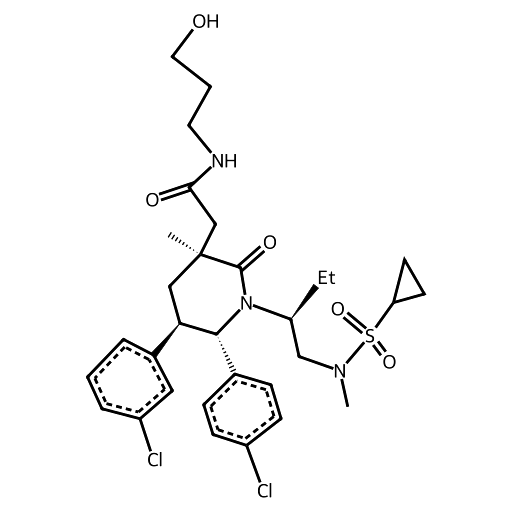 CC[C@@H](CN(C)S(=O)(=O)C1CC1)N1C(=O)[C@](C)(CC(=O)NCCCO)C[C@H](c2cccc(Cl)c2)[C@H]1c1ccc(Cl)cc1